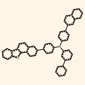 c1ccc(-c2cccc(N(c3ccc(-c4ccc5ccccc5c4)cc3)c3ccc(-c4ccc5c(ccc6c7ccccc7oc56)c4)cc3)c2)cc1